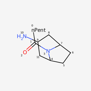 CCCCCC(=O)N1C2CCC1CC(N)C2